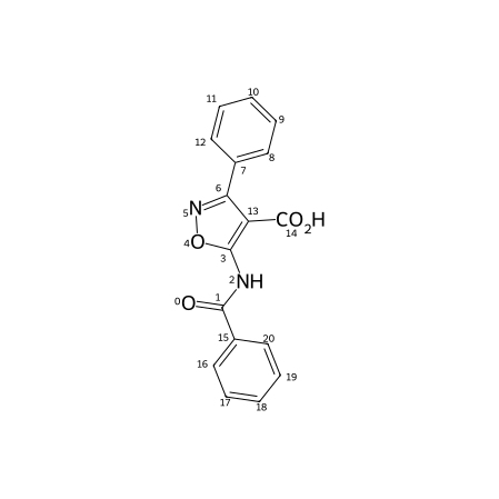 O=C(Nc1onc(-c2ccccc2)c1C(=O)O)c1ccccc1